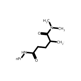 [CH2]C(CCC(=O)NCCC)C(=O)N(C)C